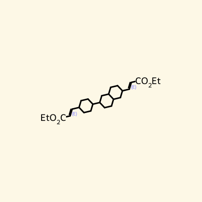 CCOC(=O)/C=C/C1CCC(C2CCC3CC(/C=C/C(=O)OCC)CCC3C2)CC1